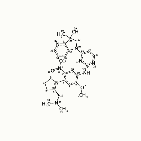 COc1cc(N2CCC[C@@H]2CN(C)C)c([N+](=O)[O-])cc1Nc1nccc(N2CC(C)(C)c3ncccc32)n1